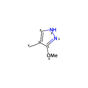 COc1n[nH][c]c1C